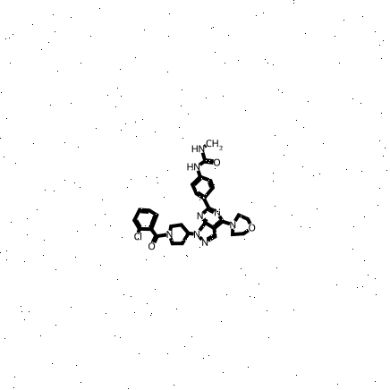 CNC(=O)Nc1ccc(-c2nc(N3CCOCC3)c3cnn(C4CCN(C(=O)c5ccccc5Cl)CC4)c3n2)cc1